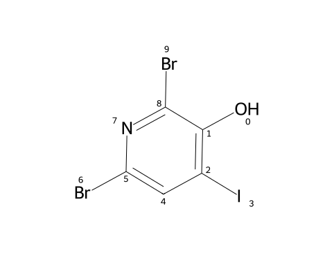 Oc1c(I)cc(Br)nc1Br